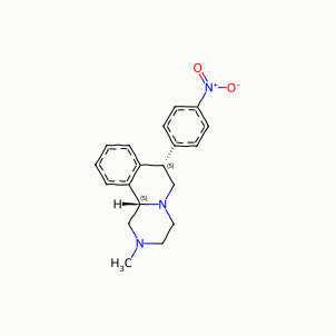 CN1CCN2C[C@@H](c3ccc([N+](=O)[O-])cc3)c3ccccc3[C@H]2C1